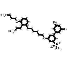 CS(=O)(=O)c1cc(OCCCCCCc2cccc(OCCCC(=O)O)c2CCC(=O)O)cc(-c2cc(F)cc(F)c2)c1